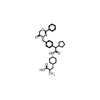 CC(C[C@H]1CC[C@H](NC(=O)C(c2ccc(CN3N=C(c4ccccc4)OCC3=O)cc2)C2CCCC2)CC1)C(=O)O